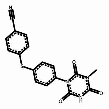 Cn1c(=O)[nH]c(=O)n(-c2ccc(Sc3ccc(C#N)cc3)cc2)c1=O